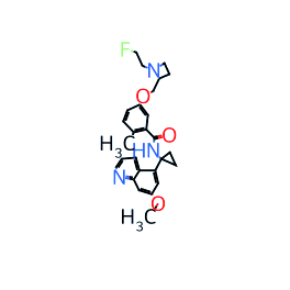 COc1cc(C2(NC(=O)c3cc(OCC4CCN4CCF)ccc3C)CC2)c2cccnc2c1